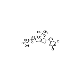 CC(C)(O)O[C@H]1[C@H](n2ccc3c(Cl)nc(Cl)nc32)OC2C(COP(=O)(O)OCP(=O)(O)O)[C@@]21C